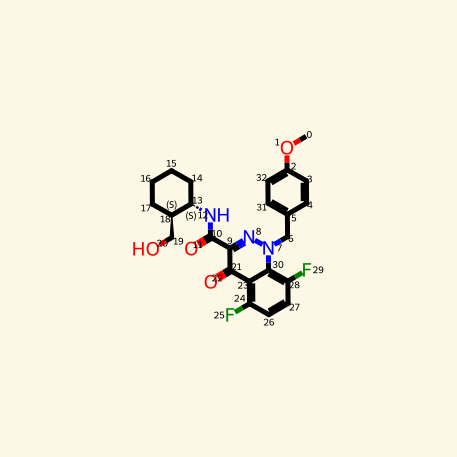 COc1ccc(Cn2nc(C(=O)N[C@H]3CCCC[C@@H]3CO)c(=O)c3c(F)ccc(F)c32)cc1